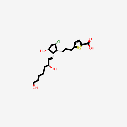 O=C(O)c1ccc(CCC[C@@H]2[C@H](C=C[C@@H](O)CCCCCO)[C@H](O)C[C@@H]2Cl)s1